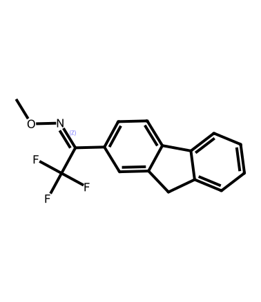 CO/N=C(/c1ccc2c(c1)Cc1ccccc1-2)C(F)(F)F